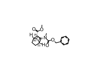 COC(=O)[C@@H]1[C@H](N(C)C(=O)OCc2ccccc2)[C@@H]2CC[C@H]1O2